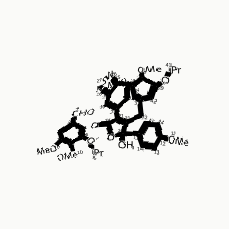 COc1cc(C=O)cc(OC(C)C)c1OC.COc1ccc(C2(O)OC(=O)C(c3ccc4nsnc4c3)=C2Cc2cc(OC)c(OC)c(OC(C)C)c2)cc1